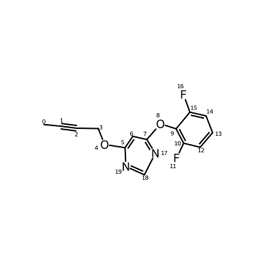 CC#CCOc1cc(Oc2c(F)cccc2F)ncn1